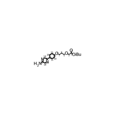 CC(C)COC(=O)COCCCOc1ccc(-c2cnc(N)cn2)cc1